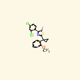 COc1ccccc1C1(c2nc(-c3ccc(Cl)cc3Cl)c(I)s2)CC1